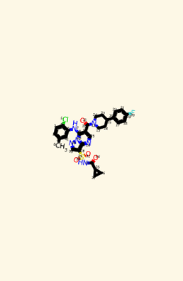 Cc1ccc(Cl)c(Nc2c(C(=O)N3CCC(c4ccc(F)cc4)CC3)cnc3c(S(=O)(=O)NC(=O)C4CC4)cnn23)c1